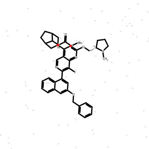 CN1CCC[C@H]1COc1nc(N2CC3CCC(C2)C3NC(=O)OC(C)(C)C)c2cnc(-c3cc(OCc4ccccc4)cc4ccccc34)c(F)c2n1